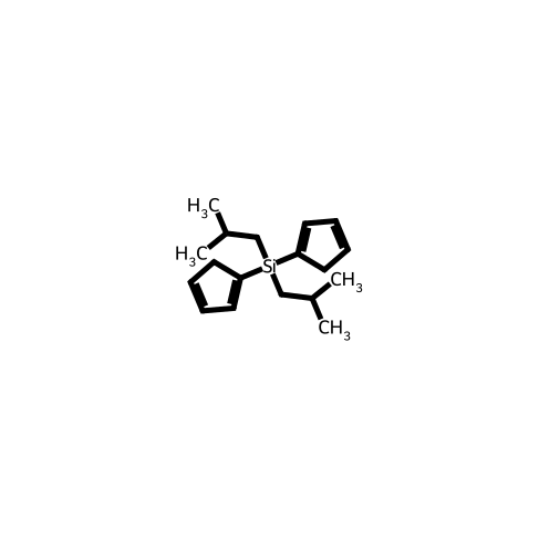 CC(C)C[Si](CC(C)C)(C1=CC=CC1)C1=CC=CC1